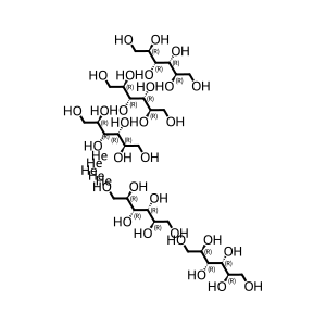 OC[C@@H](O)[C@@H](O)[C@H](O)[C@H](O)CO.OC[C@@H](O)[C@@H](O)[C@H](O)[C@H](O)CO.OC[C@@H](O)[C@@H](O)[C@H](O)[C@H](O)CO.OC[C@@H](O)[C@@H](O)[C@H](O)[C@H](O)CO.OC[C@@H](O)[C@@H](O)[C@H](O)[C@H](O)CO.[He].[He].[He].[He].[He]